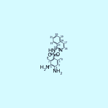 Cc1cc(N)c(N)c(C)c1S(=O)(=O)Nc1nccc2ccccc12